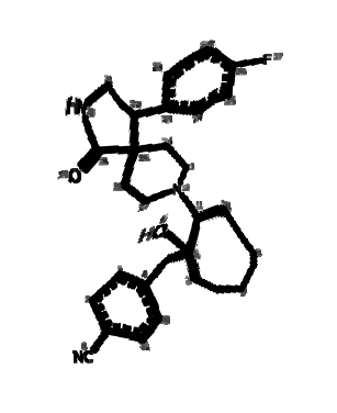 N#Cc1ccc(C2(O)CCCCC2N2CCC3(CC2)C(=O)NCC3c2ccc(F)cc2)cc1